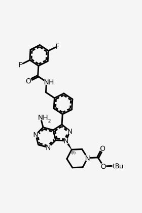 CC(C)(C)OC(=O)N1CCC[C@@H](n2nc(-c3cccc(CNC(=O)c4cc(F)ccc4F)c3)c3c(N)ncnc32)C1